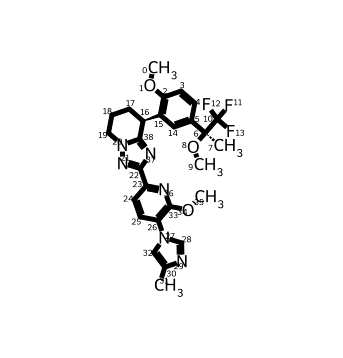 COc1ccc([C@](C)(OC)C(F)(F)F)cc1[C@@H]1CCCn2nc(-c3ccc(-n4cnc(C)c4)c(OC)n3)nc21